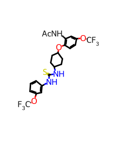 CC(=O)Nc1cc(OC(F)(F)F)ccc1OC1CCC(NC(=S)Nc2cccc(OC(F)(F)F)c2)CC1